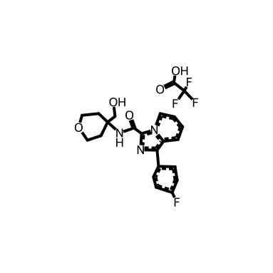 O=C(NC1(CO)CCOCC1)c1nc(-c2ccc(F)cc2)c2ccccn12.O=C(O)C(F)(F)F